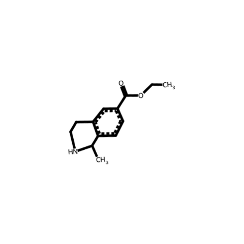 CCOC(=O)c1ccc2c(c1)CCNC2C